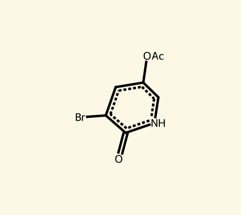 CC(=O)Oc1c[nH]c(=O)c(Br)c1